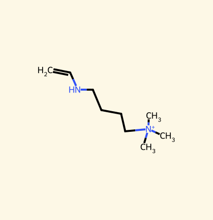 C=CNCCCC[N+](C)(C)C